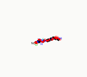 N#Cc1ccc(N2CCc3c(ncnc3Nc3ccc(C(=O)NC4CC5(CCN(C6CCN(c7ccc8c(c7)CN(C7CCC(=O)NC7=O)C8=O)CC6)CC5)C4)c(F)n3)C2)cc1Cl